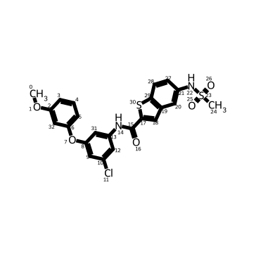 COc1cccc(Oc2cc(Cl)cc(NC(=O)c3cc4cc(NS(C)(=O)=O)ccc4s3)c2)c1